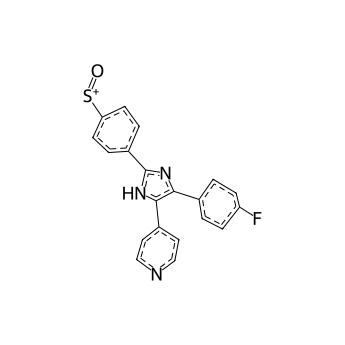 O=[S+]c1ccc(-c2nc(-c3ccc(F)cc3)c(-c3ccncc3)[nH]2)cc1